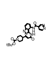 CC(C)(C)OC(=O)N1CCC(c2cc(=O)[nH]c3c4c(NC(=O)c5ccnnc5)cccc4nn23)CC1